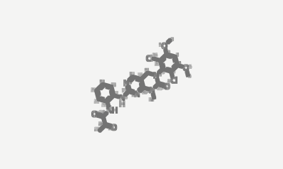 COc1cc(OC)c(Cl)c(N2Cc3cnc(Nc4ccccc4NC(=O)C(C)=O)nc3N(C)C2=O)c1Cl